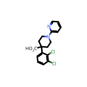 O=C(O)C1(c2cccc(Cl)c2Cl)CCN(c2ccccn2)CC1